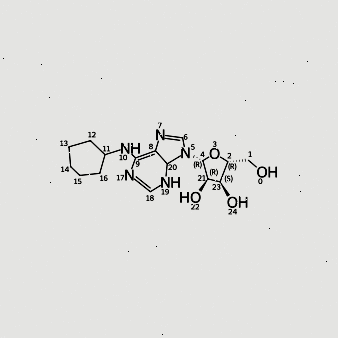 OC[C@H]1O[C@@H](N2C=NC3=C(NC4CCCCC4)N=CNC32)[C@H](O)[C@@H]1O